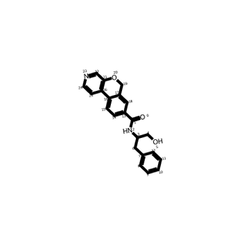 O=C(NC(CO)Cc1ccccc1)c1ccc2c(c1)COc1cnccc1-2